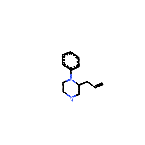 C=CCC1CNCCN1c1cc[c]cc1